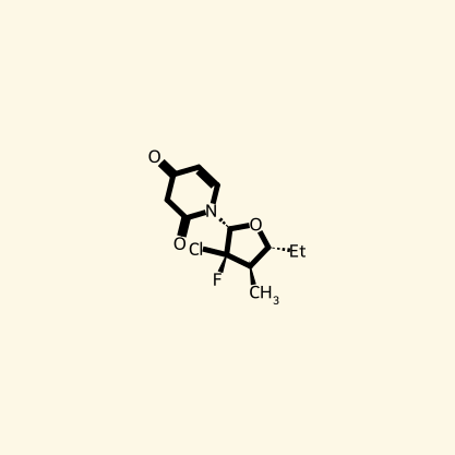 CC[C@H]1O[C@@H](N2C=CC(=O)CC2=O)[C@@](F)(Cl)[C@@H]1C